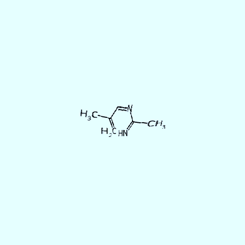 C=C(C)/C=N\C(C)=N